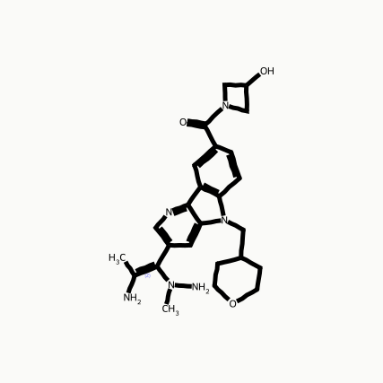 C/C(N)=C(\c1cnc2c3cc(C(=O)N4CC(O)C4)ccc3n(CC3CCOCC3)c2c1)N(C)N